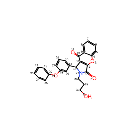 O=C1c2oc3ccccc3c(=O)c2C(c2cccc(Oc3ccccc3)c2)N1CCCO